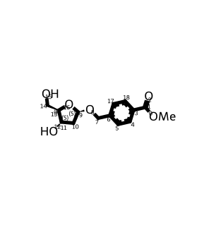 COC(=O)c1ccc(CO[C@@H]2C[C@H](O)[C@@H](CO)O2)cc1